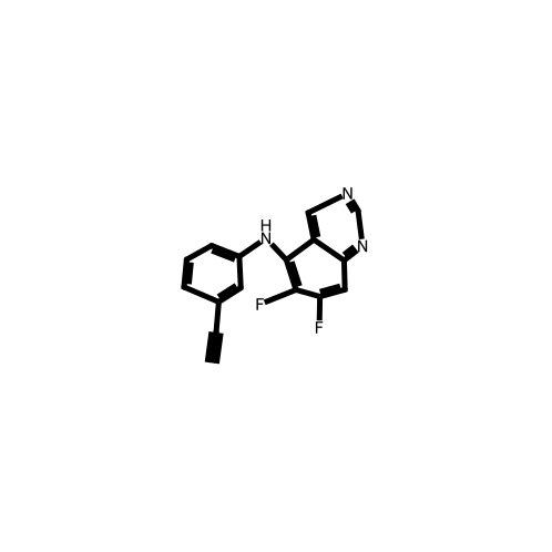 C#Cc1cccc(Nc2c(F)c(F)cc3ncncc23)c1